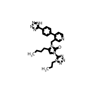 CCCCc1cn(-c2nnnn2CCC)c(=O)n1Cc1cnccc1-c1ccc(-c2nnn[nH]2)cc1